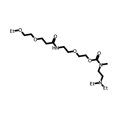 CCOCCOCCC(=O)NCCOCCOC(=O)N(C)CCN(CC)CC